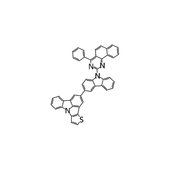 c1ccc(-c2nc(-n3c4ccccc4c4cc(-c5cc6c7ccccc7n7c8ccsc8c(c5)c67)ccc43)nc3c2ccc2ccccc23)cc1